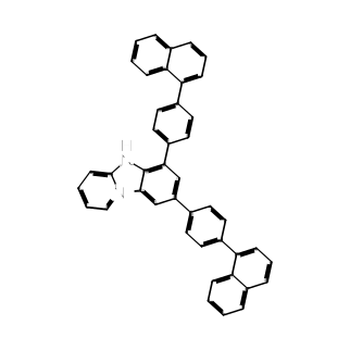 c1ccc2c(-c3ccc(-c4cc(-c5ccc(-c6cccc7ccccc67)cc5)c5[nH]c6cccc[n+]6c5c4)cc3)cccc2c1